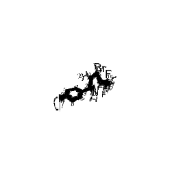 [2H]c1c(-c2ccc(Cl)cc2)[nH]c(C(F)(F)F)c1Br